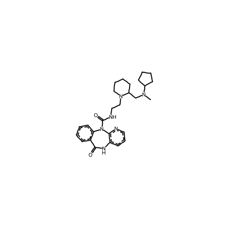 CN(CC1CCCCN1CCNC(=O)N1c2ccccc2C(=O)Nc2cccnc21)C1CCCC1